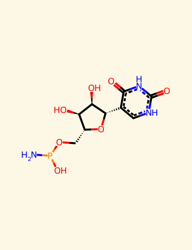 NP(O)OC[C@H]1O[C@@H](c2c[nH]c(=O)[nH]c2=O)[C@H](O)[C@@H]1O